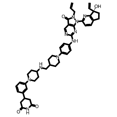 C=CCn1c(=O)c2cnc(Nc3ccc(N4CCC(CNC5CCN(c6cccc(C7CC(=O)NC(=O)C7)c6)CC5)CC4)cc3)nc2n1-c1ccc2c(n1)[C@@](O)(C=C)CC2